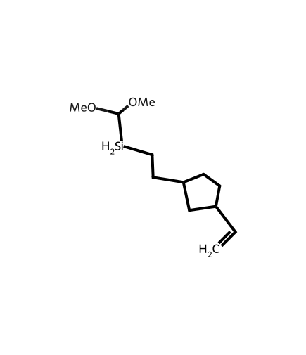 C=CC1CCC(CC[SiH2]C(OC)OC)C1